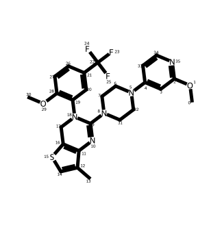 COc1cc(N2CCN(C3=Nc4c(C)csc4CN3c3cc(C(F)(F)F)ccc3OC)CC2)ccn1